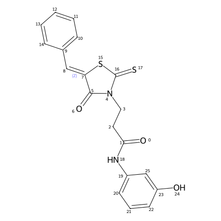 O=C(CCN1C(=O)/C(=C/c2ccccc2)SC1=S)Nc1cccc(O)c1